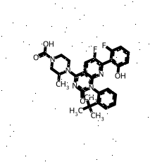 CC1CN(C(=O)O)CCN1c1nc(=O)n(-c2ccccc2C(C)(C)C)c2nc(-c3c(O)cccc3F)c(F)cc12